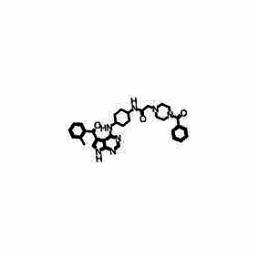 Cc1ccccc1C(=O)c1c[nH]c2ncnc(NC3CCC(NC(=O)CN4CCN(C(=O)c5ccccc5)CC4)CC3)c12